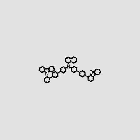 c1ccc(-n2c3ccccc3c3ccccc32)c(-c2ccc(-c3ccc(N(c4ccc(-c5ccc(-c6cccc7c6oc6ccccc67)cc5)cc4)c4cccc5ccccc45)cc3)cc2)c1